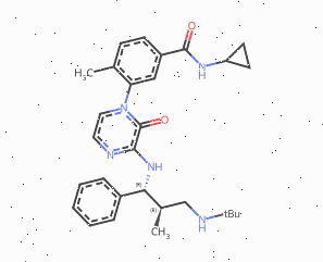 Cc1ccc(C(=O)NC2CC2)cc1-n1ccnc(N[C@@H](c2ccccc2)[C@H](C)CNC(C)(C)C)c1=O